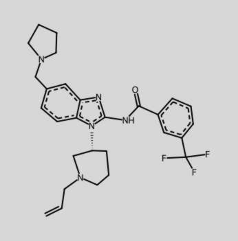 C=CCN1CCC[C@@H](n2c(NC(=O)c3cccc(C(F)(F)F)c3)nc3cc(CN4CCCC4)ccc32)C1